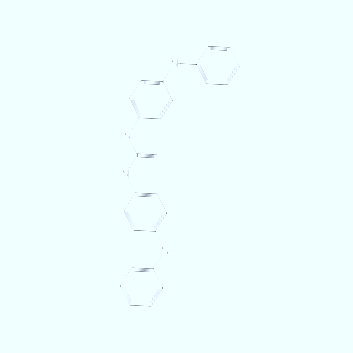 S=C(Nc1ccc(Nc2ccccc2)cc1)Nc1ccc(Nc2ccccc2)cc1